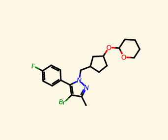 Cc1nn(CC2CCC(OC3CCCCO3)C2)c(-c2ccc(F)cc2)c1Br